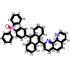 O=P(c1ccccc1)(c1ccccc1)c1ccc(-c2c3ccccc3c(-c3ccc4ccc5cccnc5c4n3)c3ccccc23)cc1